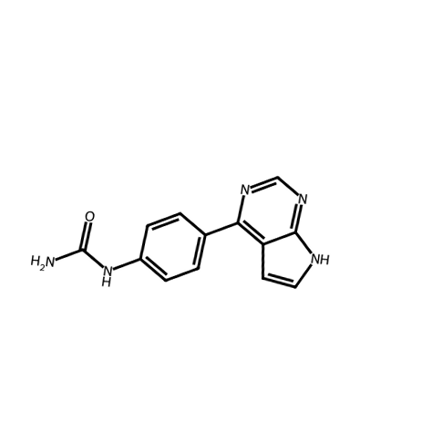 NC(=O)Nc1ccc(-c2ncnc3[nH]ccc23)cc1